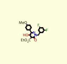 CCOC(=O)c1c(O)c(-c2ccc(OC)cc2)nn(Cc2cc(F)cc(F)c2)c1=O